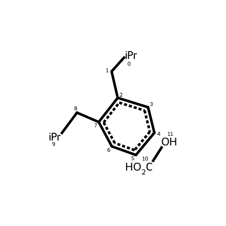 CC(C)Cc1ccccc1CC(C)C.O=C(O)O